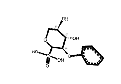 O=P(O)(O)C1OC[C@@H](O)[C@H](O)[C@H]1Oc1ccccc1